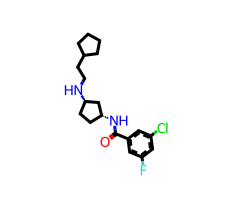 O=C(N[C@@H]1CC[C@@H](NCCC2CCCC2)C1)c1cc(F)cc(Cl)c1